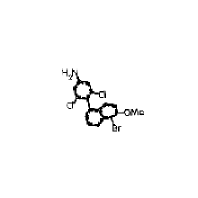 COc1ccc2c(-c3c(Cl)cc(N)cc3Cl)cccc2c1Br